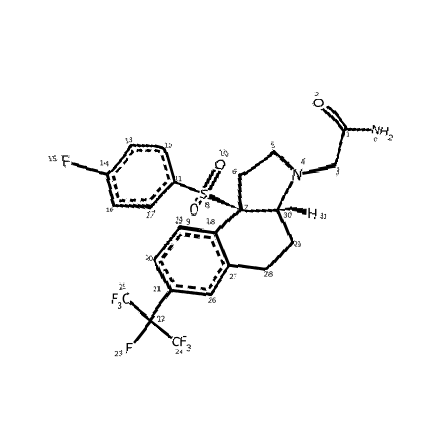 NC(=O)CN1CC[C@@]2(S(=O)(=O)c3ccc(F)cc3)c3ccc(C(F)(C(F)(F)F)C(F)(F)F)cc3CC[C@@H]12